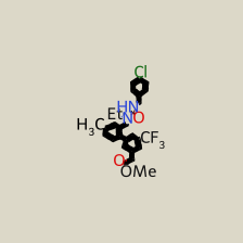 CCN(Cc1cc(C)ccc1-c1cc(CC(=O)OC)cc(C(F)(F)F)c1)C(=O)NCc1ccc(Cl)cc1